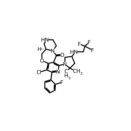 CC1(C)CC(NCC(F)(F)F)CN1c1nc(-c2ccccc2F)c(Cl)c2c1C(=O)N1CCNC[C@@H]1CO2